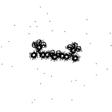 COc1cc(N(c2ccccc2)c2ccc3cc4c(cc3c2)oc2c4ccc3c4cc5ccc(N(c6ccccc6)c6cc(OC)c(OC)c(OC)c6)cc5cc4oc32)cc(OC)c1OC